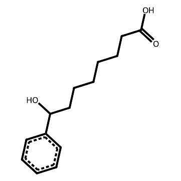 O=C(O)CCCCCCC(O)c1ccccc1